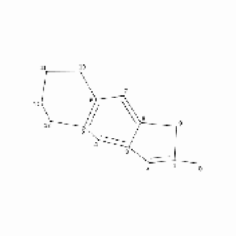 CC1=Cc2cc3c(cc2C1)CCCC3